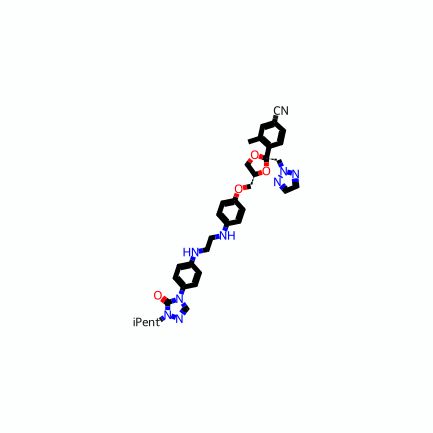 CCCC(C)n1ncn(-c2ccc(NCCNc3ccc(OC[C@@H]4CO[C@@](Cn5nccn5)(c5ccc(C#N)cc5C)O4)cc3)cc2)c1=O